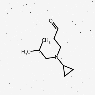 CC(C)CN(CCC=O)C1CC1